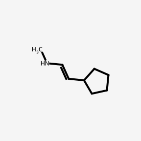 CNC=CC1CCCC1